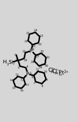 CC([SiH3])(CCP(C1CCCCC1)C1CCCCC1)CCP(C1CCCCC1)C1CCCCC1.[Cl-].[Cl-].[Pt+2]